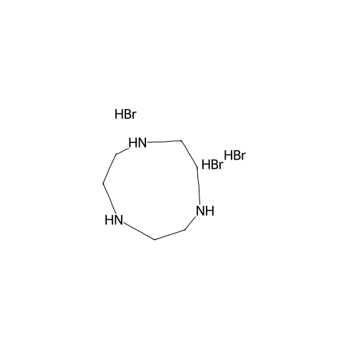 Br.Br.Br.C1CNCCNCCN1